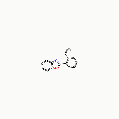 C=Cc1ccccc1-c1nc2ccccc2o1